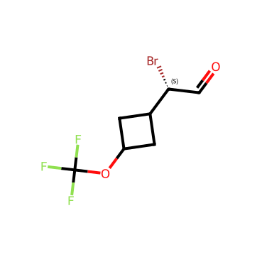 O=C[C@@H](Br)C1CC(OC(F)(F)F)C1